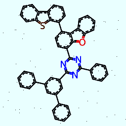 c1ccc(-c2cc(-c3ccccc3)cc(-c3nc(-c4ccccc4)nc(-c4ccc(-c5cccc6c5sc5ccccc56)c5c4oc4ccccc45)n3)c2)cc1